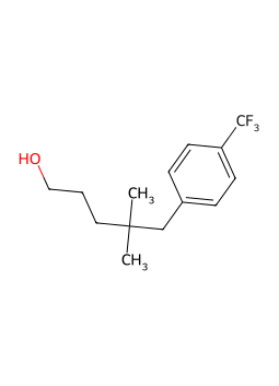 CC(C)(CCCO)Cc1ccc(C(F)(F)F)cc1